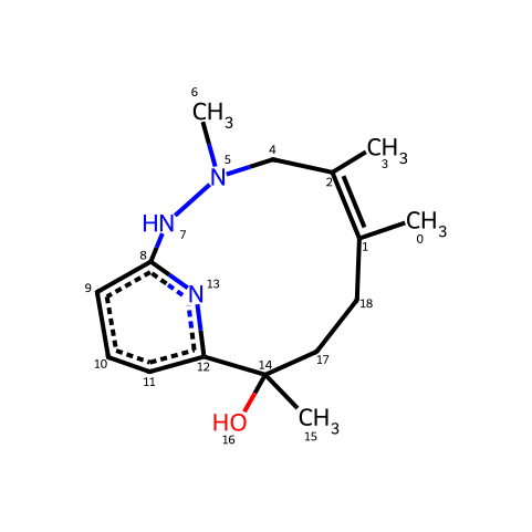 C/C1=C(\C)CN(C)Nc2cccc(n2)C(C)(O)CC1